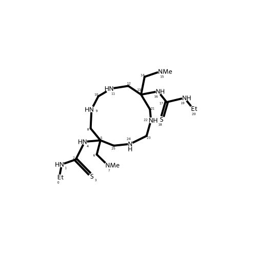 CCNC(=S)NC1(CNC)CNCNCC(CNC)(NC(=S)NCC)CNCNC1